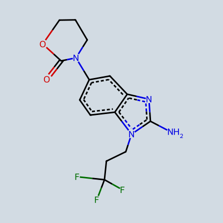 Nc1nc2cc(N3CCCOC3=O)ccc2n1CCC(F)(F)F